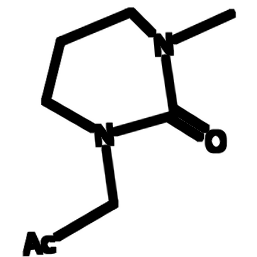 CC(=O)CN1CCCN(C)C1=O